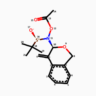 C=C1c2ccccc2CO[C@@H]1N(OC(C)=O)[S@+]([O-])C(C)(C)C